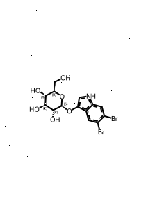 OC[C@H]1O[C@@H](Oc2c[nH]c3cc(Br)c(Br)cc23)[C@H](O)[C@@H](O)[C@H]1O